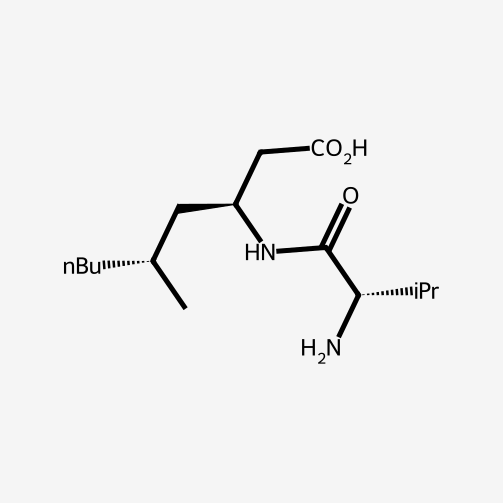 CCCC[C@@H](C)C[C@@H](CC(=O)O)NC(=O)[C@@H](N)C(C)C